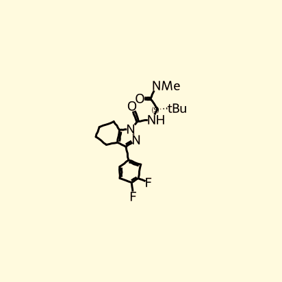 CNC(=O)[C@@H](NC(=O)n1nc(-c2ccc(F)c(F)c2)c2c1CCCC2)C(C)(C)C